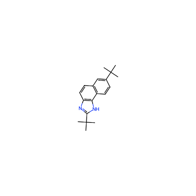 CC(C)(C)c1ccc2c(ccc3nc(C(C)(C)C)[nH]c32)c1